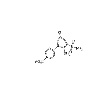 Nc1c(-c2ccc(C(=O)O)cc2)cc(Cl)cc1S(N)(=O)=O